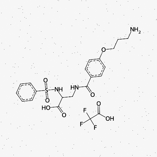 NCCCOc1ccc(C(=O)NCC(NS(=O)(=O)c2ccccc2)C(=O)O)cc1.O=C(O)C(F)(F)F